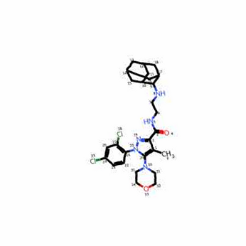 Cc1c(C(=O)NCCNC2C3CC4CC(C3)CC2C4)nn(-c2ccc(Cl)cc2Cl)c1N1CCOCC1